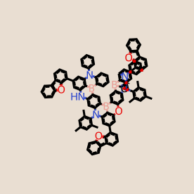 Cc1cc(C)c(N2c3cc4c(cc3B3c5cc6c(cc5Oc5cc(-c7cccc8c7oc7ccccc78)cc2c53)N(c2c(C)cc(C)cc2C)c2cc(-c3cccc5c3oc3ccccc35)cc3c2B6c2ccccc2N3c2ccccc2)B2c3ccccc3N(c3ccccc3)c3cc(-c5cccc6c5oc5ccccc56)cc(c32)N4)c(C)c1